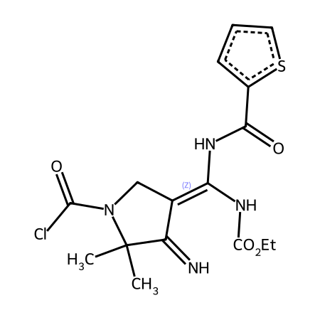 CCOC(=O)N/C(NC(=O)c1cccs1)=C1/CN(C(=O)Cl)C(C)(C)C1=N